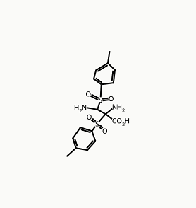 Cc1ccc(S(=O)(=O)C(N)C(N)(C(=O)O)S(=O)(=O)c2ccc(C)cc2)cc1